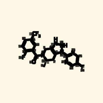 C[C@H]1CC2=C(CN1C(=O)c1cc(C(F)(F)F)ccc1F)NNN2c1ncc(F)cn1